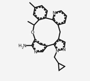 Cc1ccc2c(c1)C(C)Oc1cc(cnc1N)-c1c(cnn1CC1CC1)Cc1cccnc1-2